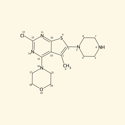 Cc1c(N2CCNCC2)sc2nc(Cl)nc(N3CCOCC3)c12